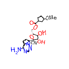 COC1CCC(C(=O)OC[C@H]2O[C@@](C#N)(c3ccc4c(N)ncnn34)[C@H](O)[C@@H]2O)C1